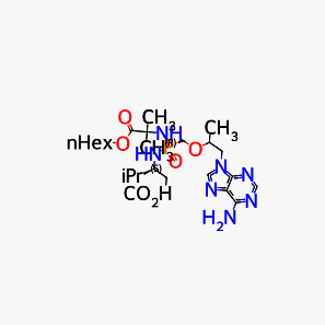 CCCCCCOC(=O)C(C)(C)N[P@@](=O)(COC(C)Cn1cnc2c(N)ncnc21)N[C@@H](CC(=O)O)C(C)C